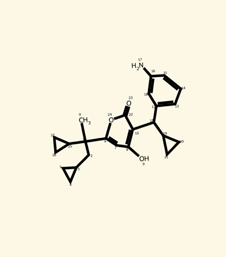 CC(CC1CC1)(c1cc(O)c(C(c2cccc(N)c2)C2CC2)c(=O)o1)C1CC1